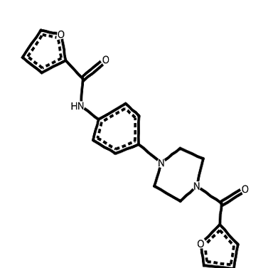 O=C(Nc1ccc(N2CCN(C(=O)c3ccco3)CC2)cc1)c1ccco1